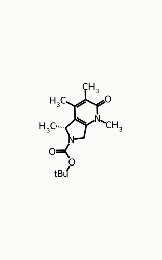 Cc1c2c(n(C)c(=O)c1C)CN(C(=O)OC(C)(C)C)[C@@H]2C